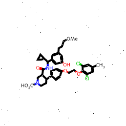 COCCCc1cc(O)cc(C(NC(=O)C2CN(C(=O)O)CCC2c2ccc(OCCOc3c(Cl)cc(C)cc3Cl)cc2)C2CC2)c1